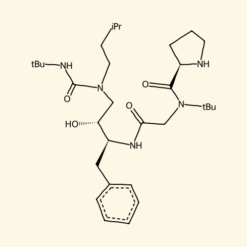 CC(C)CCN(C[C@@H](O)[C@H](Cc1ccccc1)NC(=O)CN(C(=O)[C@H]1CCCN1)C(C)(C)C)C(=O)NC(C)(C)C